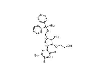 CCc1cn([C@H]2O[C@@H](CO[Si](c3ccccc3)(c3ccccc3)C(C)(C)C)C(O)C2OCCO)c(=O)[nH]c1=O